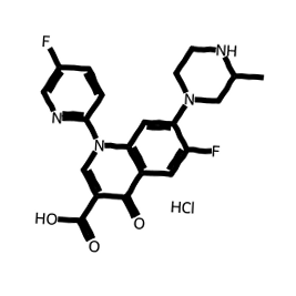 CC1CN(c2cc3c(cc2F)c(=O)c(C(=O)O)cn3-c2ccc(F)cn2)CCN1.Cl